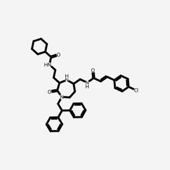 O=C(/C=C/c1ccc(Cl)cc1)NCC1CCN(CC(c2ccccc2)c2ccccc2)C(=O)C(CCNC(=O)C2CCCCC2)N1